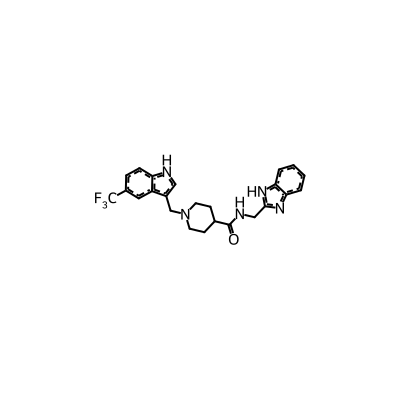 O=C(NCc1nc2ccccc2[nH]1)C1CCN(Cc2c[nH]c3ccc(C(F)(F)F)cc23)CC1